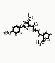 CCCCc1ccc(-c2nc(C)c(C(=O)NCCC3CCCN3C)s2)cc1